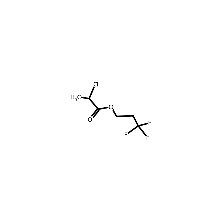 CC(Cl)C(=O)OCCC(F)(F)F